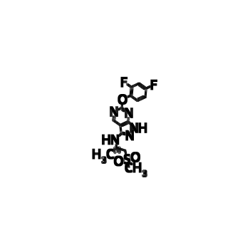 C[C@@H](CS(C)(=O)=O)Nc1n[nH]c2nc(Oc3ccc(F)cc3F)ncc12